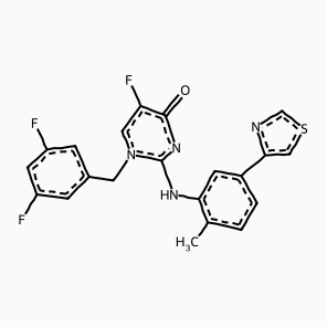 Cc1ccc(-c2cscn2)cc1Nc1nc(=O)c(F)cn1Cc1cc(F)cc(F)c1